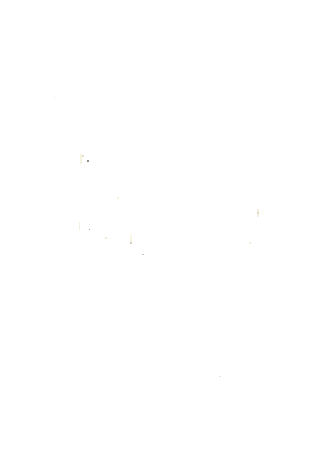 C#Cc1ccc(-c2nnc(NC3CCCN(CCO)C3)c3ccccc23)c(OCOCC)c1